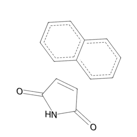 O=C1C=CC(=O)N1.c1ccc2ccccc2c1